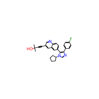 CC(C)(O)C#Cc1cnc2ccc(-c3c(-c4ccc(F)cc4)ncn3C3CCCC3)cc2c1